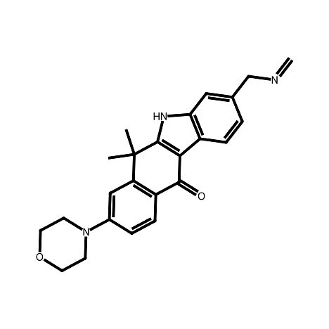 C=NCc1ccc2c3c([nH]c2c1)C(C)(C)c1cc(N2CCOCC2)ccc1C3=O